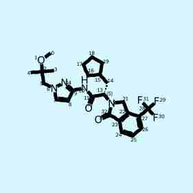 COC(C)(C)Cn1ccc(NC(=O)[C@H](CC2CCCC2)N2Cc3c(cccc3C(F)(F)F)C2=O)n1